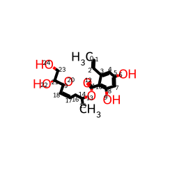 C/C=C/c1cc(O)cc(O)c1C(=O)OC(C)C/C=C\C(=O)[C@@H](O)CO